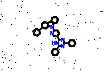 c1ccc(C2=NC(c3ccc(-n4c5ccccc5c5ccc(-c6ccccc6)cc54)nc3)NC(c3ccccc3)=N2)cc1